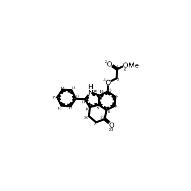 COC(=O)COc1ccc2c3c(c(-c4ccccc4)[nH]c13)CCC2=O